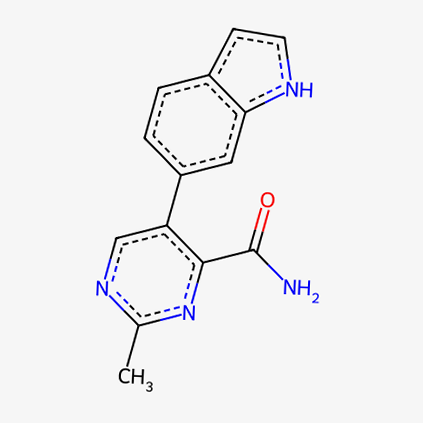 Cc1ncc(-c2ccc3cc[nH]c3c2)c(C(N)=O)n1